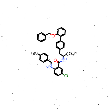 CC(C)(C)c1ccc(CNc2ccc(Cl)cc2C(=O)N[C@@H](Cc2ccc(-c3ccccc3OCc3ccccc3)cc2)C(=O)O)cc1